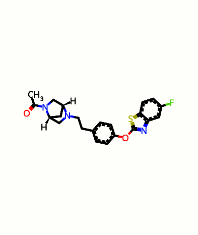 CC(=O)N1C[C@H]2C[C@@H]1CN2CCc1ccc(Oc2nc3cc(F)ccc3s2)cc1